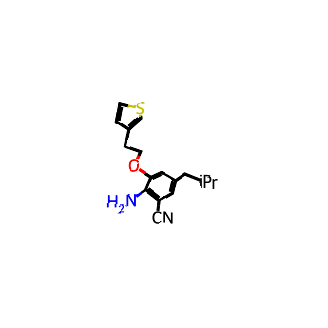 CC(C)Cc1cc(C#N)c(N)c(OCCc2ccsc2)c1